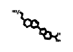 CCCC(CC)c1ccc2oc(-c3ccc4c(c3)CCN(CCC(=O)O)C4)cc2c1